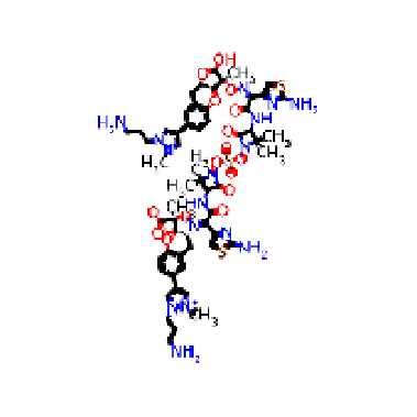 C[n+]1cc(-c2ccc3c(c2)CC[C@@H]([C@](C)(O/N=C(\C(=O)N[C@@H]2C(=O)N(OS(=O)(=O)ON4C(=O)[C@@H](NC(=O)/C(=N\O[C@](C)(C(=O)O)[C@@H]5CCc6cc(-c7cn(CCCN)[n+](C)c7)ccc6O5)c5csc(N)n5)C4(C)C)C2(C)C)c2csc(N)n2)C(=O)O)O3)cn1CCCN